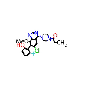 C=CC(=O)N1CCN(c2ncnc3c(OC)c(-c4c(O)cccc4F)c(Cl)cc23)CC1